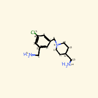 NCc1cc(Cl)cc(CN2CCC(CN)CC2)c1